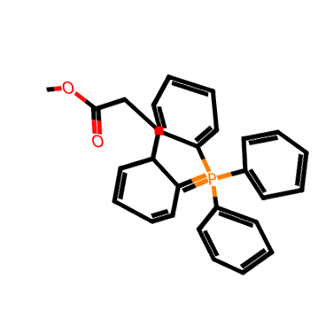 COC(=O)CCC1C=CC=CC1=P(c1ccccc1)(c1ccccc1)c1ccccc1